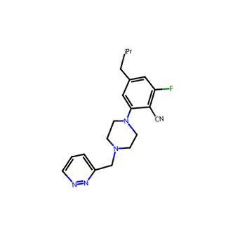 CC(C)Cc1cc(F)c(C#N)c(N2CCN(Cc3cccnn3)CC2)c1